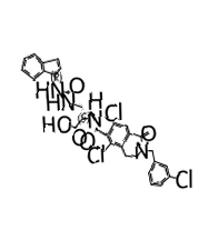 O=C(NC[C@H](NC(=O)c1c(Cl)cc2c(c1Cl)CCN(Cc1cccc(Cl)c1)C2=O)C(=O)O)N[C@@H]1C=Cc2ccccc21